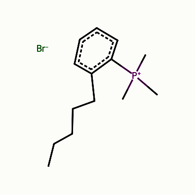 CCCCCc1ccccc1[P+](C)(C)C.[Br-]